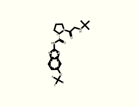 CC(C)(C)NCC(=O)N1CCC[C@H]1C(=O)Nc1nc2ccc(OC(F)(F)F)cc2s1